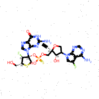 C#C[C@]1(COP(O)(=S)O[C@]2(n3cnc4c(=O)[nH]c(N)nc43)CS[C@H](CO)[C@H]2F)OCC(n2cc(F)c3c(N)ncnc32)[C@@H]1O